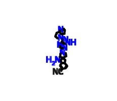 N#Cc1ccc2c(c1)[C@@H](N)C1(CCN(c3cnc4c(N5CCCc6ncccc65)n[nH]c4n3)CC1)C2